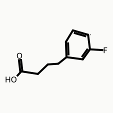 O=C(O)CCCc1cc[c]c(F)c1